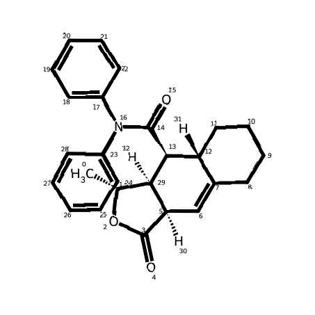 C[C@H]1OC(=O)[C@@H]2C=C3CCCC[C@H]3[C@H](C(=O)N(c3ccccc3)c3ccccc3)[C@H]12